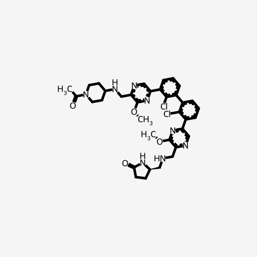 COc1nc(-c2cccc(-c3cccc(-c4cnc(CNC5CCN(C(C)=O)CC5)c(OC)n4)c3Cl)c2Cl)cnc1CNC[C@H]1CCC(=O)N1